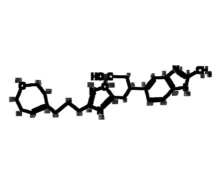 Cc1nc2cc(C(CC(=O)O)Cc3nc(CCCC4=CCCOCC4)no3)ccc2s1